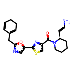 NC=C[C@H]1CCCCN1C(=O)c1csc(-c2cnc(CC3=CCCC=C3)o2)n1